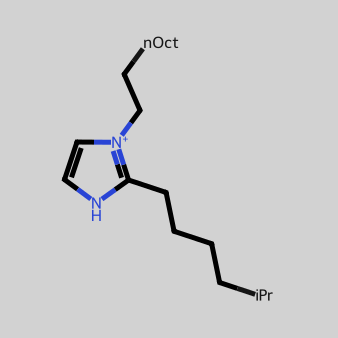 CCCCCCCCCC[n+]1cc[nH]c1CCCCC(C)C